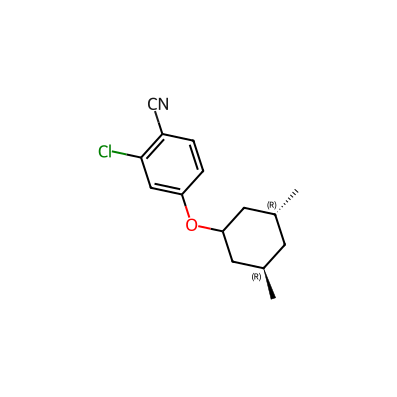 C[C@H]1CC(Oc2ccc(C#N)c(Cl)c2)C[C@H](C)C1